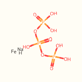 O=P(O)(O)OP(=O)(O)OP(=O)(O)O.[Fe].[NaH]